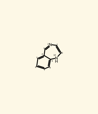 [C]1=CN=Cc2ccccc2N1